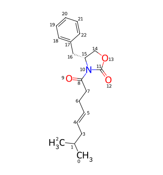 CC(C)C/C=C/CCC(=O)N1C(=O)OC[C@H]1Cc1ccccc1